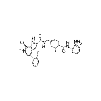 CC1CC(CNC(=O)c2cc3c(-c4ccccc4F)cn(C)c(=O)c3[nH]2)=CC=C1C(=O)Nc1ccccc1N